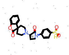 O=C1[C@@H](N2CCC3(CC2)C(=O)Oc2ccccc23)CCN1c1ccc([SH](=O)=O)cc1